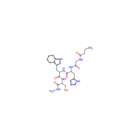 CCCC(=O)NCC(=O)NC(Cc1cnc[nH]1)C(=O)NC(Cc1c[nH]c2ccccc12)C(=O)NC(CO)C(=O)NC